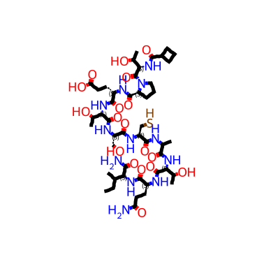 CCC(C)[C@H](NC(=O)[C@H](CCC(N)=O)NC(=O)[C@@H](NC(=O)C(C)NC(=O)[C@H](CS)NC(=O)[C@H](CO)NC(=O)[C@@H](NC(=O)[C@H](CCC(=O)O)NC(=O)[C@@H]1CCCN1C(=O)[C@@H](NC(=O)C1CCC1)C(C)O)C(C)O)C(C)O)C(N)=O